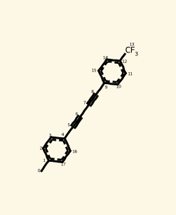 Cc1ccc(C#CC#Cc2ccc(C(F)(F)F)cc2)cc1